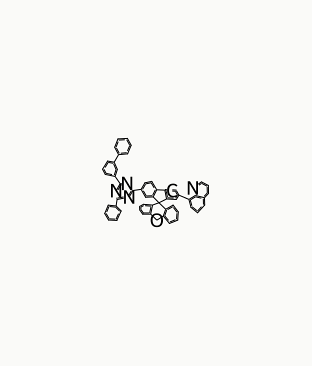 c1ccc(-c2cccc(-c3nc(-c4ccccc4)nc(-c4ccc5c(c4)C4(c6ccccc6Oc6ccccc64)c4cc(-c6cccc7cccnc67)ccc4-5)n3)c2)cc1